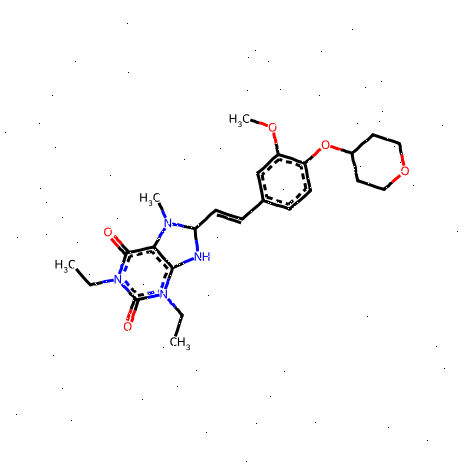 CCn1c2c(c(=O)n(CC)c1=O)N(C)C(/C=C/c1ccc(OC3CCOCC3)c(OC)c1)N2